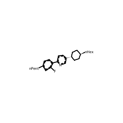 CCCCCC[C@H]1CC[C@H](c2ccc(-c3ccc(CCCCC)cc3F)nc2)CC1